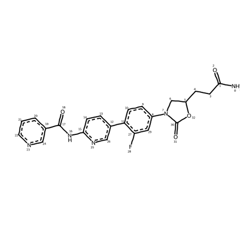 NC(=O)CCC1CN(c2ccc(-c3ccc(NC(=O)c4cccnc4)nc3)c(F)c2)C(=O)O1